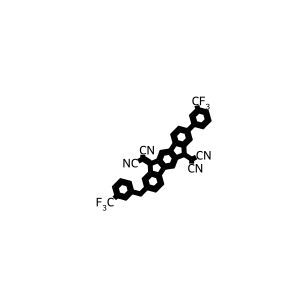 N#CC(C#N)=C1c2cc(Cc3cccc(C(F)(F)F)c3)ccc2-c2cc3c(cc21)-c1ccc(-c2cccc(C(F)(F)F)c2)cc1C3C(C#N)C#N